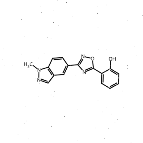 Cn1ncc2cc(-c3noc(-c4ccccc4O)n3)ccc21